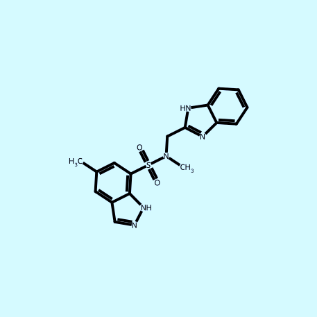 Cc1cc(S(=O)(=O)N(C)Cc2nc3ccccc3[nH]2)c2[nH]ncc2c1